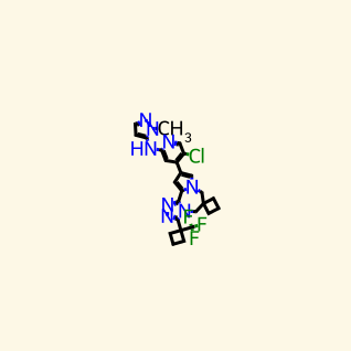 Cn1nccc1Nc1cc(-c2cc3n(c2)CC2(CCC2)Cn2c-3nnc2C2(C(F)(F)F)CCC2)c(Cl)cn1